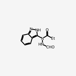 CCC(=O)N(NC=O)c1[nH]nc2ccccc12